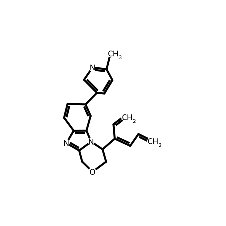 C=C/C=C(\C=C)C1COCc2nc3ccc(-c4ccc(C)nc4)cc3n21